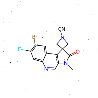 CN1C(=O)C2(CN(C#N)C2)c2c1cnc1cc(F)c(Br)cc21